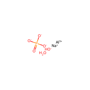 O.O=P([O-])([O-])[O-].[Al+3].[Na+].[OH-]